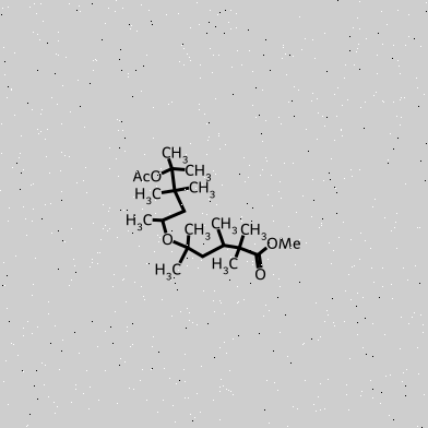 COC(=O)C(C)(C)C(C)CC(C)(C)OC(C)CC(C)(C)C(C)(C)OC(C)=O